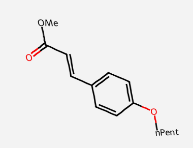 CCCCCOc1ccc(/C=C/C(=O)OC)cc1